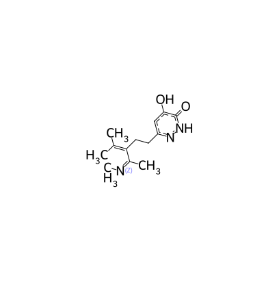 C/N=C(/C)C(CCc1cc(O)c(=O)[nH]n1)=C(C)C